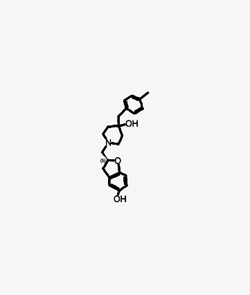 Cc1ccc(CC2(O)CCN(C[C@@H]3Cc4cc(O)ccc4O3)CC2)cc1